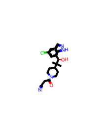 CC(C)(C1CCN(C(=O)CC#N)CC1)[C@H](O)c1cc(Cl)cc2cn[nH]c12